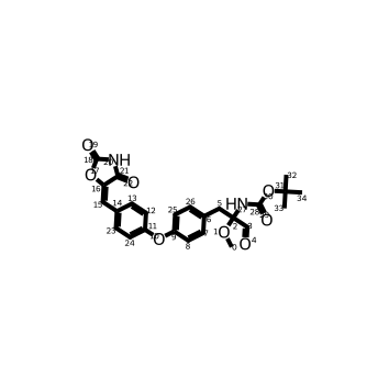 COC(C=O)(Cc1ccc(Oc2ccc(C=C3OC(=O)NC3=O)cc2)cc1)NC(=O)OC(C)(C)C